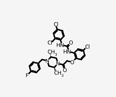 C[C@@H]1CN(C(=O)COc2ccc(Cl)cc2NC(=O)Nc2ccc(Cl)cc2Cl)[C@@H](C)CN1Cc1ccc(F)cc1